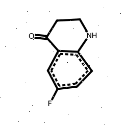 O=C1CCNc2ccc(F)cc21